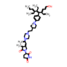 C=C/C=C(C=C)/C(CC)=C(/C(C=C)=C/C=C/O)c1ccc(N2CCC(CCN3CCN(C(=C)/C=C4/CN(C5CCC(=O)NC5=O)C(=O)C4=C)CC3)CC2)cc1